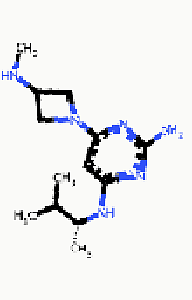 CNC1CN(c2cc(N[C@H](C)C(C)C)nc(N)n2)C1